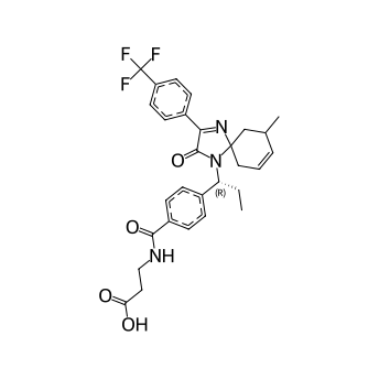 CC[C@H](c1ccc(C(=O)NCCC(=O)O)cc1)N1C(=O)C(c2ccc(C(F)(F)F)cc2)=NC12CC=CC(C)C2